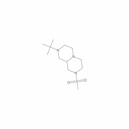 CC(C)(C)N1CCN2CCN(S(C)(=O)=O)CC2C1